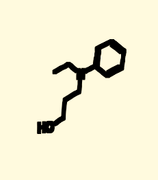 CCN(CCCO)c1ccccc1